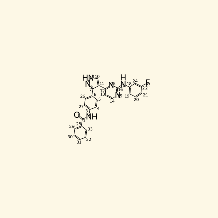 O=C(Nc1ccc(-c2n[nH]cc2-c2ccnc(Nc3cccc(F)c3)n2)cc1)c1ccccc1